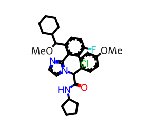 COc1ccc(C(C(=O)NC2CCCC2)n2ccnc2-c2c(C(OC)C3CCCCC3)ccc(F)c2Cl)cc1